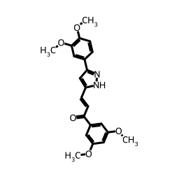 COc1cc(OC)cc(C(=O)/C=C/c2cc(-c3ccc(OC)c(OC)c3)n[nH]2)c1